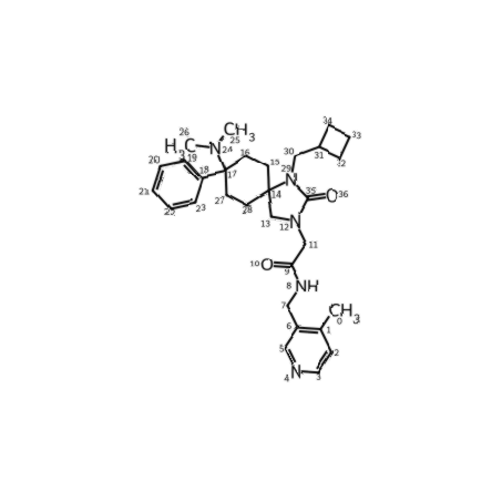 Cc1ccncc1CNC(=O)CN1CC2(CCC(c3ccccc3)(N(C)C)CC2)N(CC2CCC2)C1=O